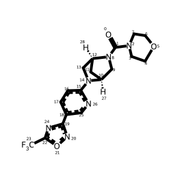 O=C(N1CCOCC1)N1C[C@@H]2C[C@H]1CN2c1ccc(-c2noc(C(F)(F)F)n2)cn1